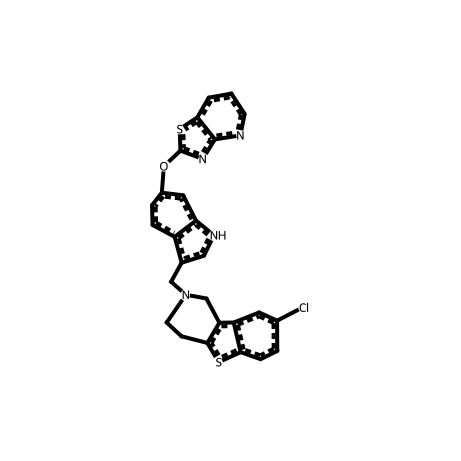 Clc1ccc2sc3c(c2c1)CN(Cc1c[nH]c2cc(Oc4nc5ncccc5s4)ccc12)CC3